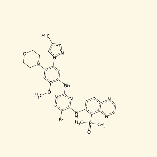 COc1cc(N2CCOCC2)c(-n2cc(C)cn2)cc1Nc1ncc(Br)c(Nc2ccc3nccnc3c2P(C)(C)=O)n1